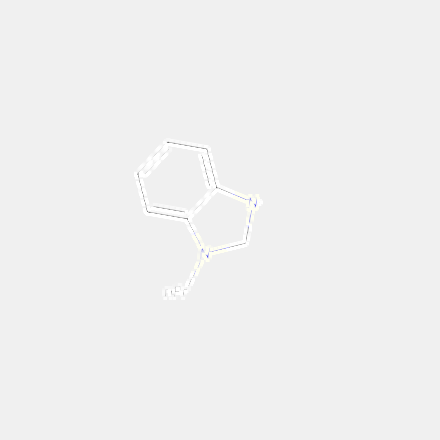 CCCN1C[N]c2ccccc21